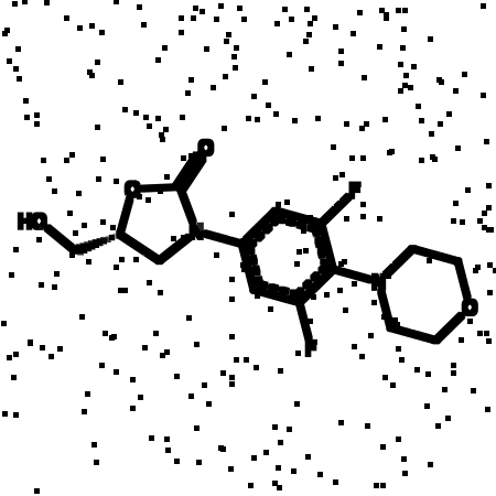 O=C1O[C@@H](CO)CN1c1cc(F)c(N2CCOCC2)c(F)c1